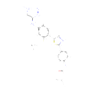 CN/C=C(\N=N)Nc1ccc(-c2cnc(-c3ccc(NC(=O)OC(C)C)cc3)s2)c(SC2CC2)c1